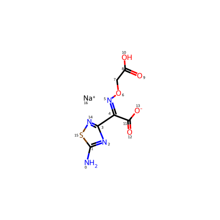 Nc1nc(C(=NOCC(=O)O)C(=O)[O-])ns1.[Na+]